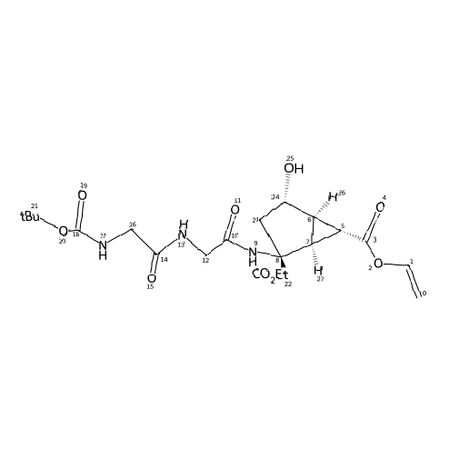 C=COC(=O)[C@H]1[C@H]2[C@@H]1[C@@](NC(=O)CNC(=O)CNC(=O)OC(C)(C)C)(C(=O)OCC)C[C@@H]2O